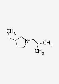 CCC1CCN(CC(C)C)C1